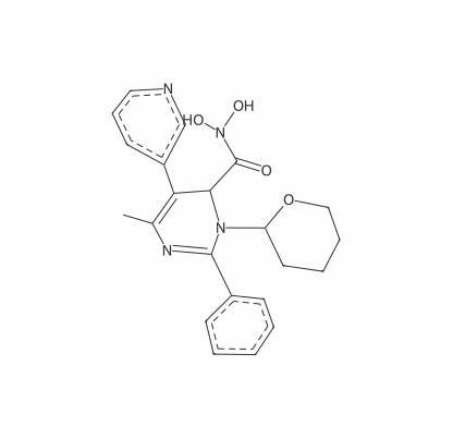 CC1=C(c2cccnc2)C(C(=O)N(O)O)N(C2CCCCO2)C(c2ccccc2)=N1